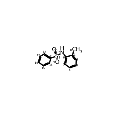 Cc1cc[c]cc1NS(=O)(=O)c1ccccc1